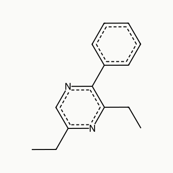 CCc1cnc(-c2ccccc2)c(CC)n1